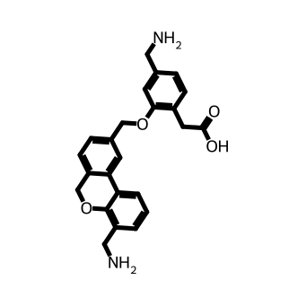 NCc1ccc(CC(=O)O)c(OCc2ccc3c(c2)-c2cccc(CN)c2OC3)c1